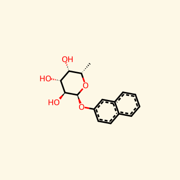 C[C@@H]1O[C@@H](Oc2ccc3ccccc3c2)[C@@H](O)[C@H](O)[C@@H]1O